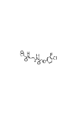 C=C(CCNC(=O)C1CCOC1)NC(=O)COc1ccc(Cl)c(F)c1